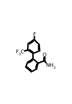 NC(=O)c1ccccc1-c1ccc(F)cc1C(F)(F)F